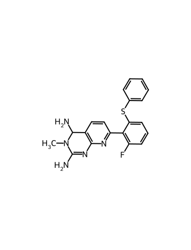 CN1C(N)=Nc2nc(-c3c(F)cccc3Sc3ccccc3)ccc2C1N